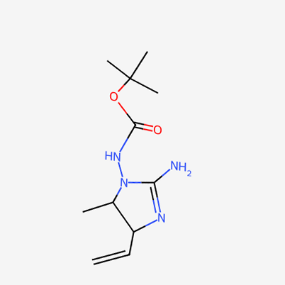 C=CC1N=C(N)N(NC(=O)OC(C)(C)C)C1C